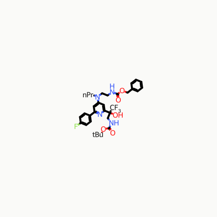 CCCN(CCNC(=O)OCc1ccccc1)c1cc(-c2ccc(F)cc2)nc(C(O)(CNC(=O)OC(C)(C)C)C(F)(F)F)c1